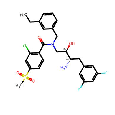 CCc1cccc(CN(C[C@@H](O)[C@@H](N)Cc2cc(F)cc(F)c2)C(=O)c2ccc(S(C)(=O)=O)cc2Cl)c1